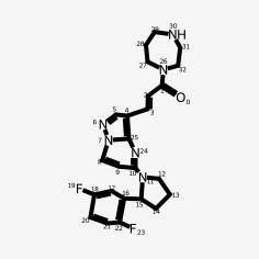 O=C(C=Cc1cnn2ccc(N3CCCC3c3cc(F)ccc3F)nc12)N1CCCNCC1